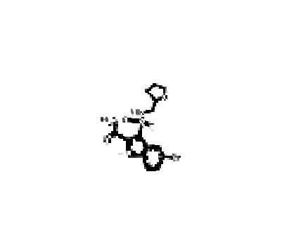 NC(=O)c1[nH]c2ccc(Br)cc2c1S(=O)(=O)NCC1CCCO1